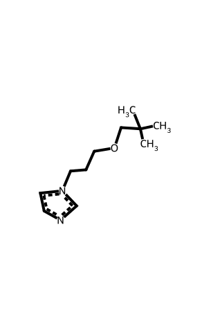 CC(C)(C)COCCCn1ccnc1